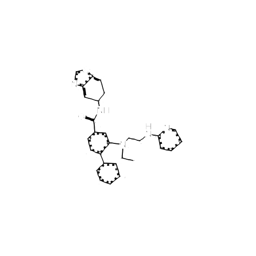 CCN(CCNc1ccccn1)c1cc(C(=O)NC2C=c3ncsc3=CC2)ccc1-c1ccccc1